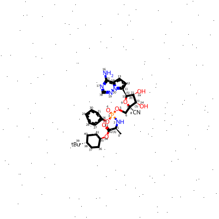 C[C@H](NP(=O)(OC[C@@]1(C#N)O[C@@H](c2ccc3c(N)ncnn23)[C@H](O)[C@@H]1O)Oc1ccccc1)C(=O)O[C@H]1CC[C@H](C(C)(C)C)CC1